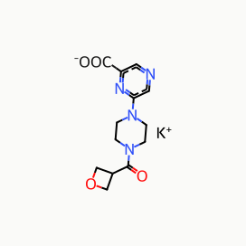 O=C([O-])c1cncc(N2CCN(C(=O)C3COC3)CC2)n1.[K+]